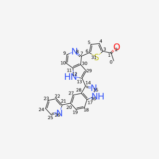 CC(=O)c1ccc(-c2nccc3[nH]c(-c4n[nH]c5ccc(-c6ccccn6)cc45)cc23)s1